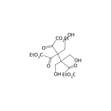 CCOC(=O)C(=O)C(CO)(CO)C(CCO)(C(=O)C(=O)OCC)C(=O)C(=O)OCC